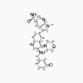 Cn1cc(-c2ccc3ncc(NCc4cccc(Cl)c4)c(N4CCOCC4)c3c2)c2cc(C(N)=O)cnc21